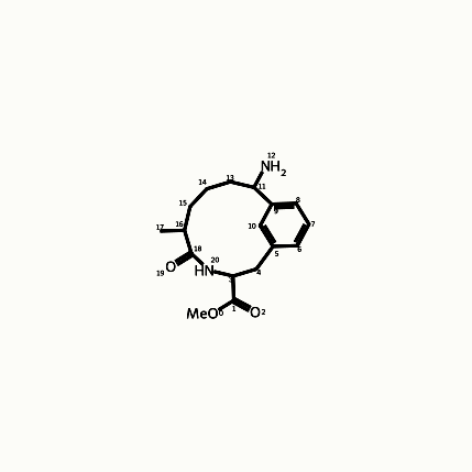 COC(=O)C1Cc2cccc(c2)C(N)CCCC(C)C(=O)N1